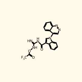 N=C(NOC(=O)C(F)(F)F)NC(=O)c1cn(-c2cnnc3ccccc23)c2ccccc12